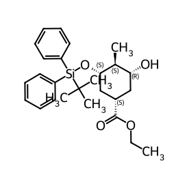 CCOC(=O)[C@H]1C[C@@H](O)[C@H](C)[C@@H](O[Si](c2ccccc2)(c2ccccc2)C(C)(C)C)C1